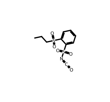 CCCS(=O)(=O)c1ccccc1S(=O)(=O)N=C=O